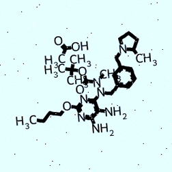 CC(=O)O.CCCCOc1nc(N)c(N)c(N(Cc2cccc(CN3CCCC3C)c2)N(C)C(=O)OC(C)(C)C)n1